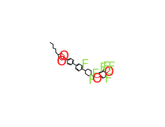 CCCCCC1COC(c2ccc(-c3ccc(C4CCC(C(F)(F)Oc5cc(F)c(OC(F)F)c(F)c5)CC4)c(F)c3)cc2)OC1